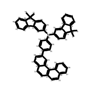 CC1(C)c2ccccc2-c2cc(N(c3ccc(-c4ccc5ccc6ccc7ccccc7c6c5c4)cc3)c3ccc4c(c3)-c3ccccc3C4(C)C)ccc21